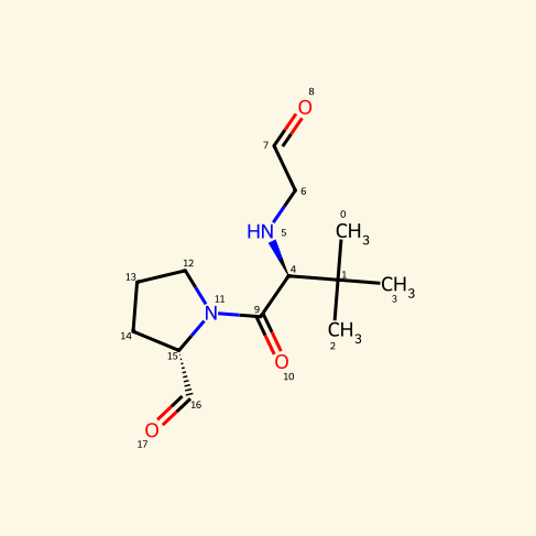 CC(C)(C)[C@H](NCC=O)C(=O)N1CCC[C@H]1C=O